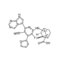 N#Cc1c(-c2c[nH]c3ncncc23)nc(N[C@H]2C3CCC(CC3)[C@@H]2C(=O)O)c(F)c1-c1ccco1